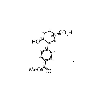 COC(=O)c1ccc(C2CN(C(=O)O)CCC2O)cc1